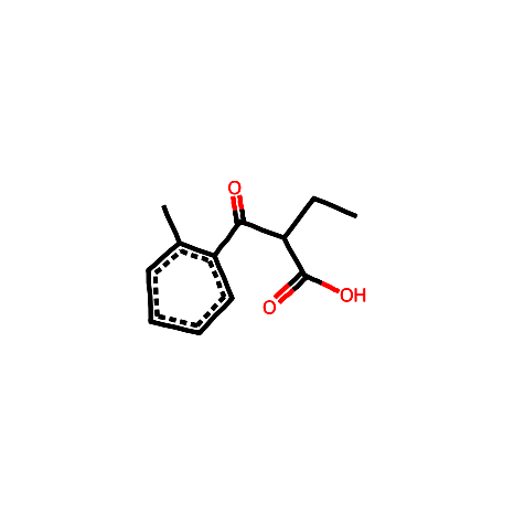 CCC(C(=O)O)C(=O)c1ccccc1C